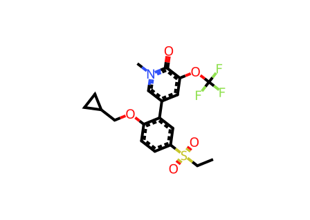 CCS(=O)(=O)c1ccc(OCC2CC2)c(-c2cc(OC(F)(F)F)c(=O)n(C)c2)c1